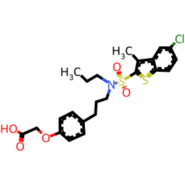 CCCN(CCCc1ccc(OCC(=O)O)cc1)S(=O)(=O)c1sc2ccc(Cl)cc2c1C